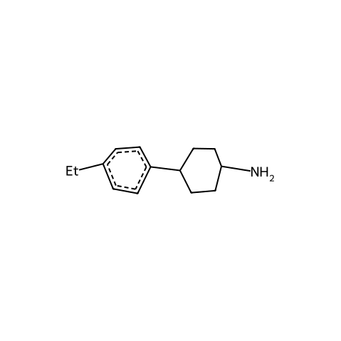 CCc1ccc(C2CCC(N)CC2)cc1